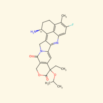 CCC1(OC(C)C)C(=O)OCc2c1cc1n(c2=O)Cc2c-1nc1cc(F)c(C)c3c1c2[C@@H](N)CC3